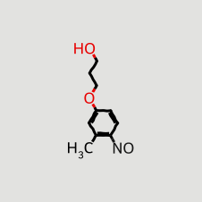 Cc1cc(OCCCO)ccc1N=O